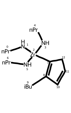 CCC[NH][Zr]([NH]CCC)([NH]CCC)[C]1=C(C(C)CC)C=CC1